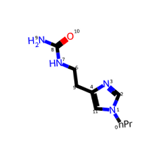 CCCn1cnc(CCNC(N)=O)c1